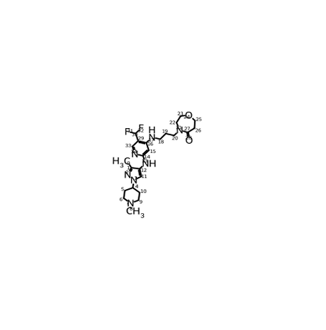 Cc1nn(C2CCN(C)CC2)cc1Nc1cc(NCCCN2CCOCCC2=O)c(C(F)F)cn1